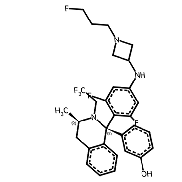 C[C@@H]1Cc2ccccc2[C@@](c2cccc(O)c2)(c2c(F)cc(NC3CN(CCCF)C3)cc2F)N1CC(F)(F)F